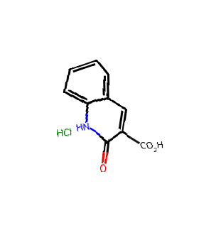 Cl.O=C(O)c1cc2ccccc2[nH]c1=O